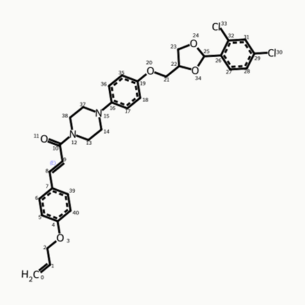 C=CCOc1ccc(/C=C/C(=O)N2CCN(c3ccc(OCC4COC(c5ccc(Cl)cc5Cl)O4)cc3)CC2)cc1